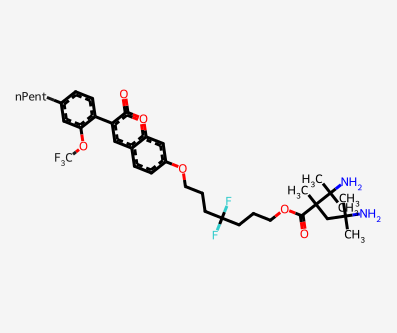 CCCCCc1ccc(-c2cc3ccc(OCCCC(F)(F)CCCOC(=O)C(C)(CC(C)(C)N)C(C)(C)N)cc3oc2=O)c(OC(F)(F)F)c1